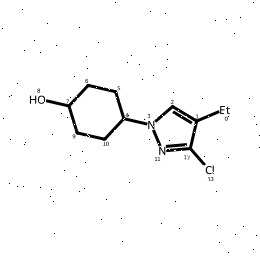 CCc1cn(C2CCC(O)CC2)nc1Cl